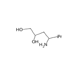 CC(C)C(N)CC(O)CO